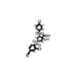 N#Cc1ccc(S(=O)(=O)N2C[C@H](S(=O)(=O)c3ccc(Cl)cn3)[C@](O)(CO)C2)c(Cl)c1